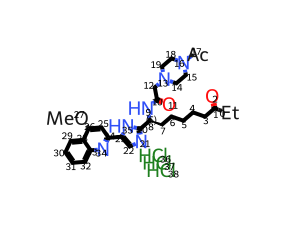 CCC(=O)CCCCC[C@H](NC(=O)CN1CCN(C(C)=O)CC1)c1ncc(-c2cc(OC)c3ccccc3n2)[nH]1.Cl.Cl.Cl